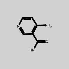 [NH]C(=O)c1cnccc1N